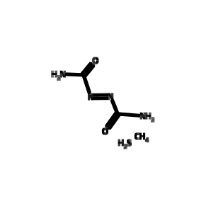 C.NC(=O)N=NC(N)=O.S